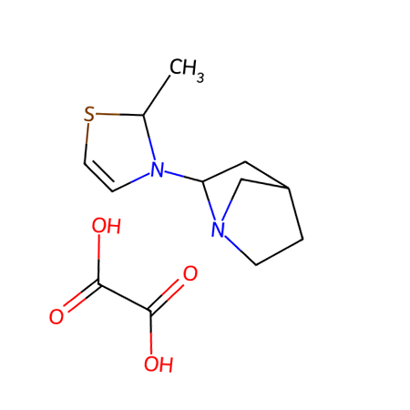 CC1SC=CN1C1CC2CCN1C2.O=C(O)C(=O)O